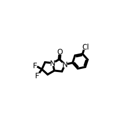 O=C1N(c2cccc(Cl)c2)CC2CC(F)(F)CN12